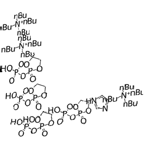 CCCC[N+](CCCC)(CCCC)CCCC.CCCC[N+](CCCC)(CCCC)CCCC.CCCC[N+](CCCC)(CCCC)CCCC.O=P(O)(O)OP1(=O)OCCO1.O=P([O-])(O)OP1(=O)OCCO1.O=P([O-])(O)OP1(=O)OCCO1.O=P([O-])(O)OP1(=O)OCCO1.c1c[nH]cn1